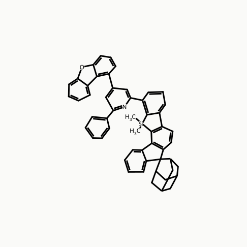 C[Si]1(C)c2c(-c3cc(-c4cccc5oc6ccccc6c45)cc(-c4ccccc4)n3)cccc2-c2ccc3c(c21)-c1ccccc1C31C2CC3CC(C2)CC1C3